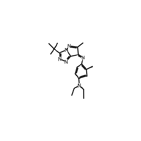 CCN(CC)c1ccc(N=C2C(C)=Nn3c2nnc3C(C)(C)C)c(C)c1